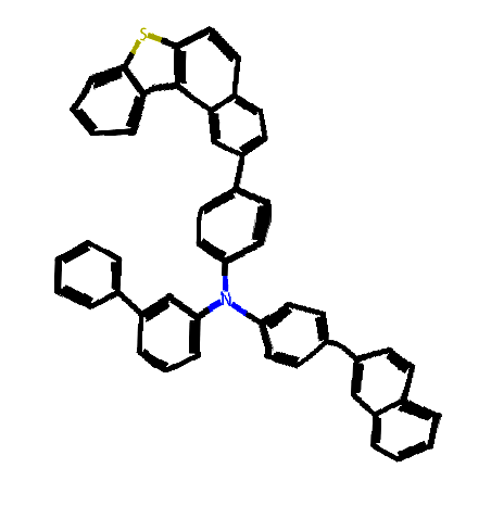 c1ccc(-c2cccc(N(c3ccc(-c4ccc5ccccc5c4)cc3)c3ccc(-c4ccc5ccc6sc7ccccc7c6c5c4)cc3)c2)cc1